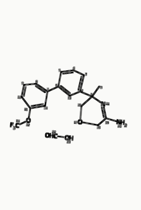 CC1(c2cccc(-c3cccc(OC(F)(F)F)c3)c2)COCC(N)=N1.O=CO